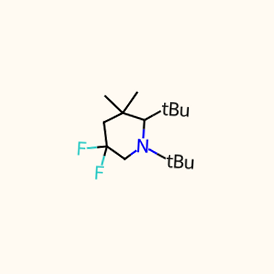 CC(C)(C)C1N(C(C)(C)C)CC(F)(F)CC1(C)C